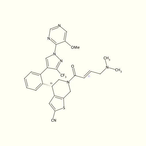 COc1cncnc1-n1cc(-c2ccccc2[C@@H]2CN(C(=O)/C=C/CN(C)C)Cc3sc(C#N)cc32)c(C(F)(F)F)n1